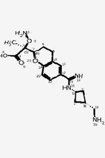 C[C@@](ON)(C(=O)O)[C@H]1CCc2cc(C(=N)N[C@H]3C[C@@H](CN)C3)ccc2O1